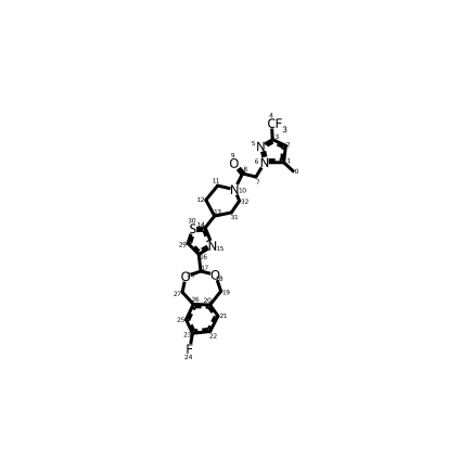 Cc1cc(C(F)(F)F)nn1CC(=O)N1CCC(c2nc(C3OCc4ccc(F)cc4CO3)cs2)CC1